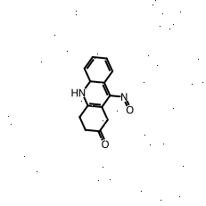 O=NC1=C2C=CC=CC2NC2=C1CC(=O)CC2